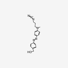 CN(CCCN=[N+]=[N-])c1ccc(N=Nc2ccc(CO)cc2)cc1